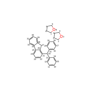 C1CCOC1.C1CCOC1.c1ccc(C(c2ccccc2)c2cccc3c2Cc2ccccc2-3)cc1